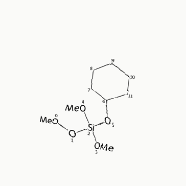 COO[Si](OC)(OC)OC1CCCCC1